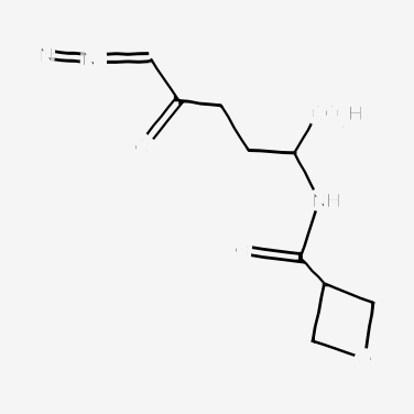 [N-]=[N+]=CC(=O)CCC(NC(=O)C1COC1)C(=O)O